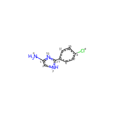 Nc1c[nH]c(-c2ccc(Cl)cc2)n1